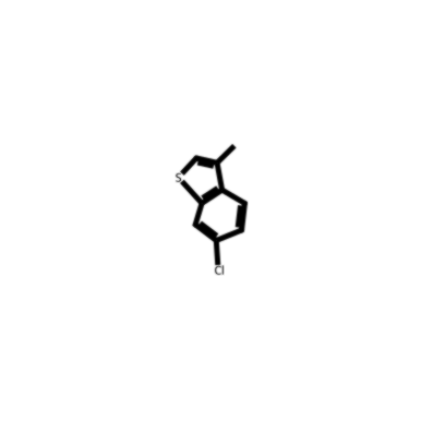 Cc1csc2cc(Cl)ccc12